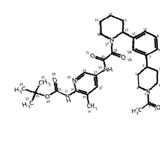 CC(=O)N1CCC(c2cccc(C3CCCCN3C(=O)C(=O)Nc3cnc(NC(=O)OC(C)(C)C)c(C)c3)c2)CC1